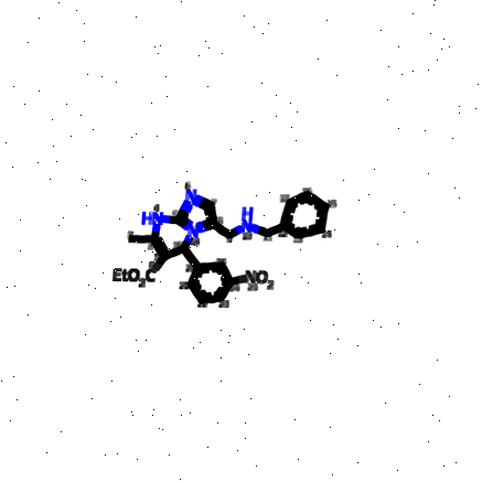 CCOC(=O)C1=C(C)Nc2ncc(CNCc3ccccc3)n2C1c1cccc([N+](=O)[O-])c1